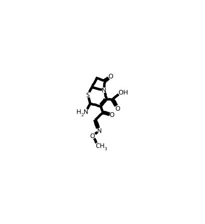 CO/N=C/C(=O)C1=C(C(=O)O)N2C(=O)CC2SC1N